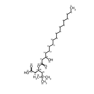 CCCCCCCCCCCCCCCC(O)CC(=O)O[C@H](CC(=O)O)C[N+](C)(C)C